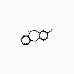 Clc1ccc2c(c1)CNc1ccccc1N2